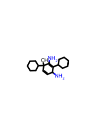 CC1(C2CCCCC2)C=CC(N)C(C2CCCCC2)=C1N